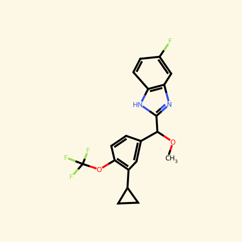 COC(c1ccc(OC(F)(F)F)c(C2CC2)c1)c1nc2cc(F)ccc2[nH]1